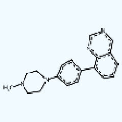 CN1CCN(c2ccc(-c3cccc4cncnc34)cc2)CC1